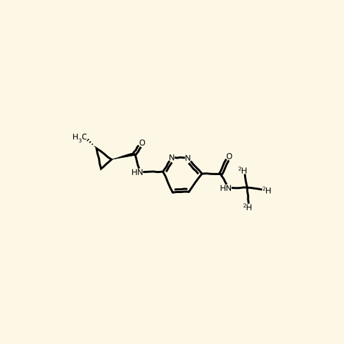 [2H]C([2H])([2H])NC(=O)c1ccc(NC(=O)[C@H]2C[C@@H]2C)nn1